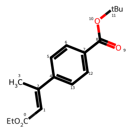 CCOC(=O)C=C(C)c1ccc(C(=O)OC(C)(C)C)cc1